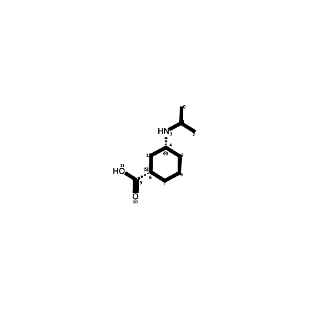 CC(C)N[C@@H]1CCC[C@H](C(=O)O)C1